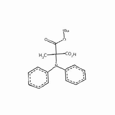 CC(C)(C)OC(=O)C(C)(C(=O)O)N(c1ccccc1)c1ccccc1